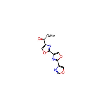 COC(=O)c1coc(-c2coc(-c3cocn3)n2)n1